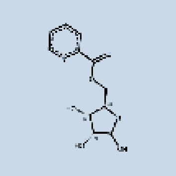 O=C(OC[C@H]1OC(O)[C@H](O)[C@@H]1O)c1ccccn1